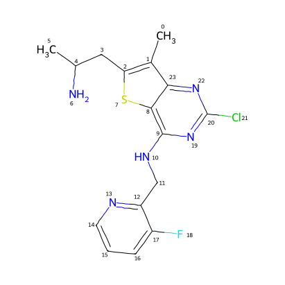 Cc1c(CC(C)N)sc2c(NCc3ncccc3F)nc(Cl)nc12